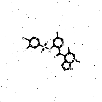 Cc1cnc(C(=O)c2c(C)c[n+](C)c3[nH]ccc23)c(NS(=O)(=O)c2ccc(Cl)c(C(F)(F)F)c2)c1